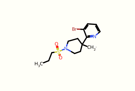 [CH2]C1(c2ncccc2Br)CCN(S(=O)(=O)CCC)CC1